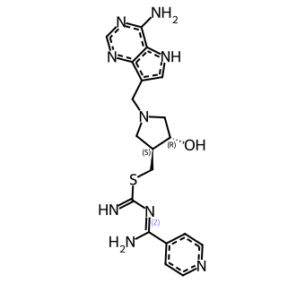 N=C(/N=C(\N)c1ccncc1)SC[C@H]1CN(Cc2c[nH]c3c(N)ncnc23)C[C@@H]1O